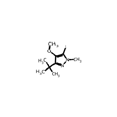 COc1c(C(C)(C)C)nn(C)c1I